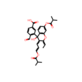 C/C=C1/Oc2cc(OC(=O)C(C)C)ccc2C(O)(c2cc(C(=O)O)ccc2C=O)/C1=C/C=C/OC(=O)C(C)C